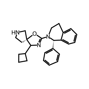 c1ccc([C@H]2c3ccccc3CCN2C2=NC(C3CCC3)[C@]3(CCNC3)O2)cc1